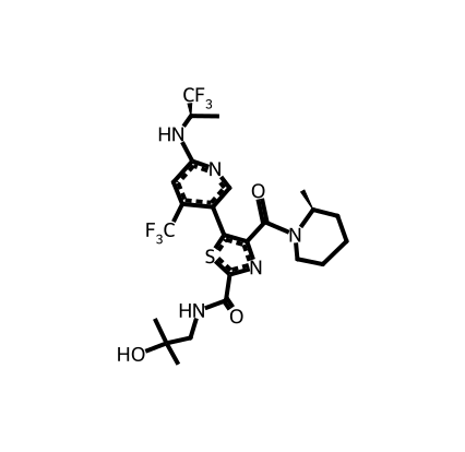 C[C@H]1CCCCN1C(=O)c1nc(C(=O)NCC(C)(C)O)sc1-c1cnc(N[C@H](C)C(F)(F)F)cc1C(F)(F)F